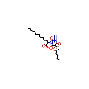 CCCCCCCCCCC(C(=O)OC)N1C(=O)NC(=O)C(CC)(SCCCCC)C1=O